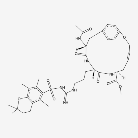 COC(=O)[C@@H]1CC=CCOc2ccc(cc2)C[C@@H](NC(C)=O)C(=O)N[C@@H](CCCNC(=N)NS(=O)(=O)c2c(C)c(C)c3c(c2C)CCC(C)(C)O3)C(=O)N1